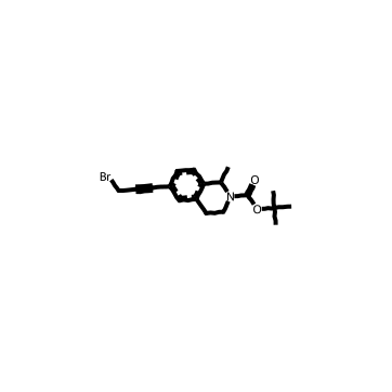 CC1c2ccc(C#CCBr)cc2CCN1C(=O)OC(C)(C)C